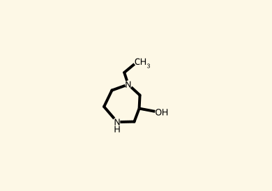 CCN1CCNCC(O)C1